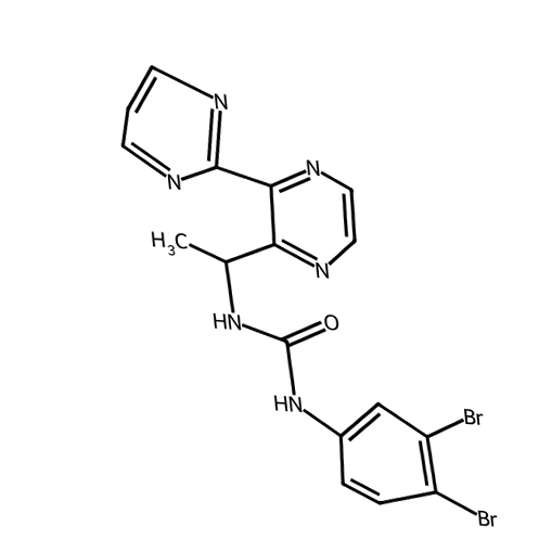 CC(NC(=O)Nc1ccc(Br)c(Br)c1)c1nccnc1-c1ncccn1